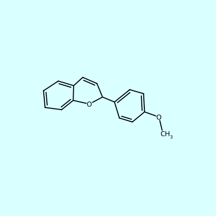 COc1ccc(C2C=Cc3ccccc3O2)cc1